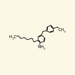 CCCCCCCc1cc(Cc2ccc(CC)cc2)ccc1N